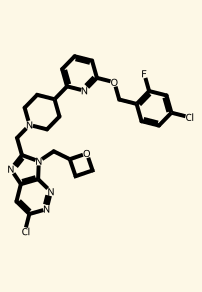 Fc1cc(Cl)ccc1COc1cccc(C2CCN(Cc3nc4cc(Cl)nnc4n3CC3CCO3)CC2)n1